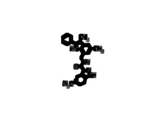 Cc1cc(CNC(=O)c2n[nH]c3c2CN(C)CC3)c2[nH]c(-c3ccccc3)c(C)c2c1